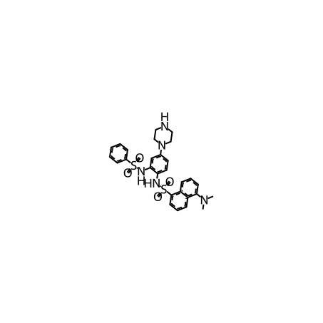 CN(C)c1cccc2c(S(=O)(=O)Nc3ccc(N4CCNCC4)cc3NS(=O)(=O)c3ccccc3)cccc12